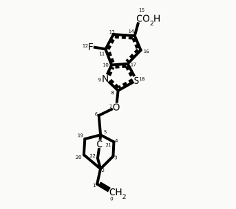 C=CC12CCC(COc3nc4c(F)cc(C(=O)O)cc4s3)(CC1)CC2